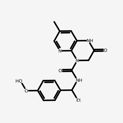 CCC(NC(=O)N1CC(=O)Nc2cc(C)cnc21)c1ccc(OO)cc1